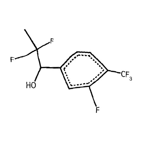 CC(F)(F)C(O)c1ccc(C(F)(F)F)c(F)c1